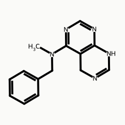 CN(Cc1ccccc1)c1ncnc2c1CN=CN2